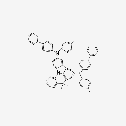 Cc1ccc(N(c2ccc(-c3ccccc3)cc2)c2ccc3c(c2)c2cc(N(c4ccc(C)cc4)c4ccc(-c5ccccc5)cc4)cc4c2n3-c2ccccc2C4(C)C)cc1